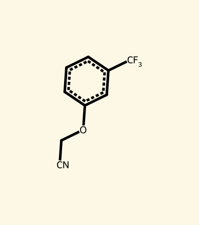 N#CCOc1cccc(C(F)(F)F)c1